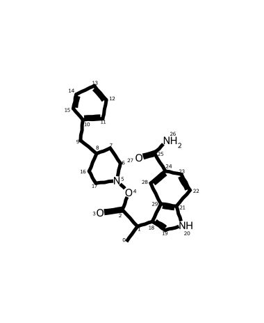 CC(C(=O)ON1CCC(Cc2ccccc2)CC1)c1c[nH]c2ccc(C(N)=O)cc12